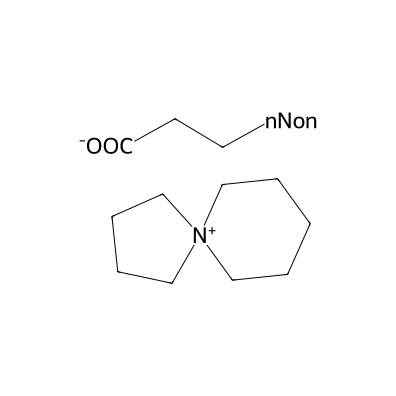 C1CC[N+]2(CC1)CCCC2.CCCCCCCCCCCC(=O)[O-]